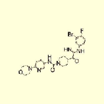 N=C(Nc1ccc(F)c(Br)c1)C(=O)C1CCN(C(=O)Nc2ccc(N3CCOCC3)nc2)CC1